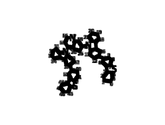 c1ccc2c(c1)sc1ccc(-c3ccc4c(c3)c3ccccc3n4-c3ccc4c(-n5c6ccccc6c6cc(-c7ccc8sc9ccccc9c8c7)ccc65)ccnc4c3)cc12